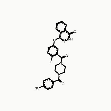 N#Cc1ccc(C(=O)N2CCN(C(=O)c3cc(Oc4n[nH]c(=O)c5ccccc45)ccc3F)CC2)cc1